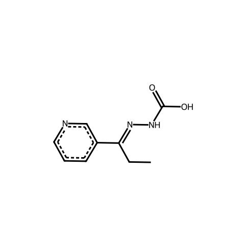 CCC(=NNC(=O)O)c1cccnc1